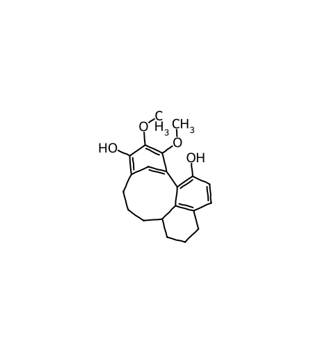 COc1c2cc(c(O)c1OC)CCCC1CCCc3ccc(O)c-2c31